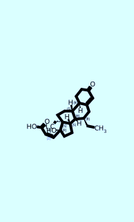 CC[C@@H]1CC2=CC(=O)CC[C@@H]2[C@H]2CC[C@@]3(CC)[C@@H](CC[C@@]3(O)/C=C\C(=O)O)[C@H]12